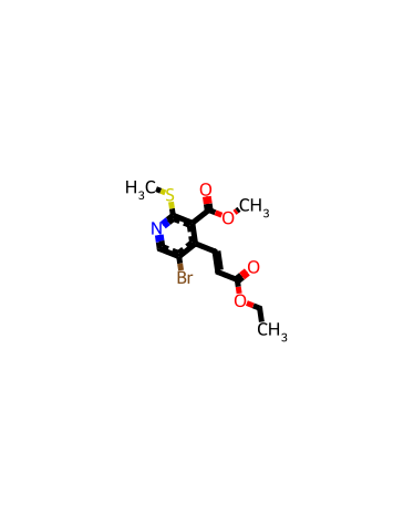 CCOC(=O)C=Cc1c(Br)cnc(SC)c1C(=O)OC